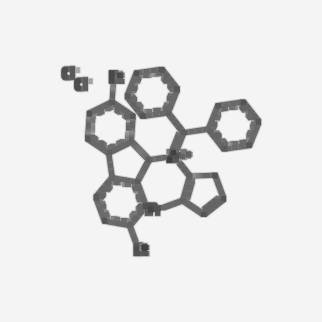 CCc1ccc2c(c1)[CH]([Zr+2]([C]1=C(C(C)C)C=CC1)=[C](c1ccccc1)c1ccccc1)c1cc(CC)ccc1-2.[Cl-].[Cl-]